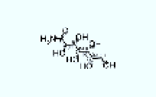 NC(=O)[C@H](O)[C@H](O)[C@@H](O)[C@H](O)[C@@H](O)CO